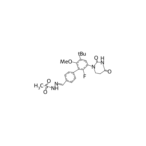 COc1c(C(C)(C)C)cc(N2CCC(=O)NC2=O)c(F)c1-c1ccc(/C=N/NS(C)(=O)=O)cc1